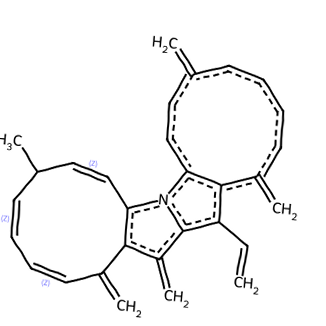 C=Cc1c2c(=C)ccccc(=C)ccc2n2c3c(c(=C)c12)C(=C)/C=C\C=C/C(C)/C=C\3